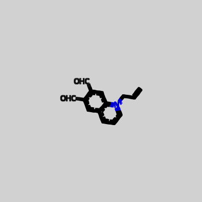 C=CC[n+]1cccc2cc(C=O)c(C=O)cc21